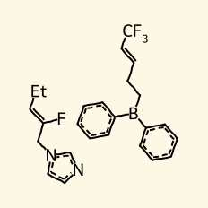 CCC=C(F)Cn1ccnc1.FC(F)(F)C=CCCB(c1ccccc1)c1ccccc1